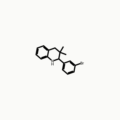 CC1(C)Cc2ccccc2NC1c1cccc(Br)c1